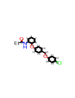 CCC(=O)Nc1ccccc1Oc1ccc(COc2ccc(Cl)cc2)cc1